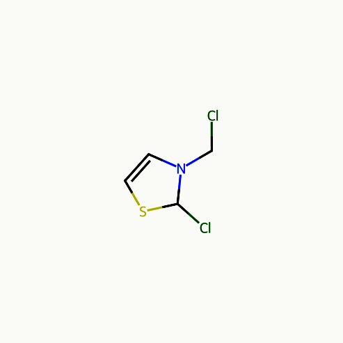 ClCN1C=CSC1Cl